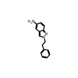 Nc1ccc2nn(CCc3ccccc3)cc2c1